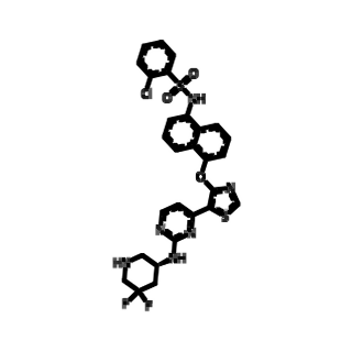 O=S(=O)(Nc1cccc2c(Oc3ncsc3-c3ccnc(N[C@@H]4CNCC(F)(F)C4)n3)cccc12)c1ccccc1Cl